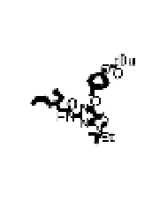 C=C/C(=C\C=C/C)CC(=O)Nc1nc(OCC2=CC=C(OC(=O)C(C)(C)C)CC2)c2ncn(C(C)(C)CC)c2n1